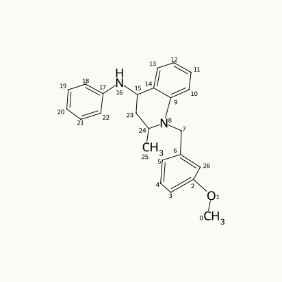 COc1cccc(CN2c3ccccc3C(Nc3ccccc3)CC2C)c1